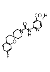 O=C(O)c1ccnc(NC(=O)N2CCC3(CCc4ccc(F)cc4O3)CC2)c1